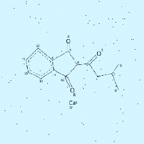 CC(C)CC(=O)C1C(=O)c2ccccc2C1=O.[Ca]